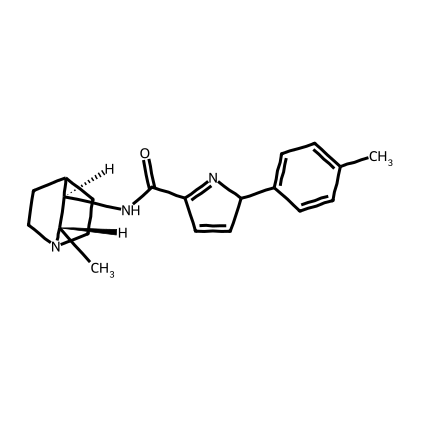 Cc1ccc(C2C=CC(C(=O)N[C@@H]3C4CCN(CC4)[C@H]3C)=N2)cc1